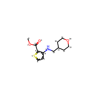 COC(=O)c1sccc1NCC1CCOCC1